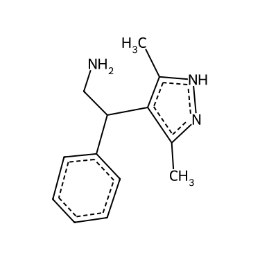 Cc1n[nH]c(C)c1C(CN)c1ccccc1